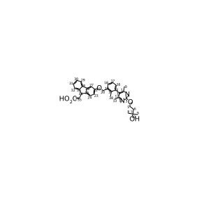 Cc1nc(OCCC(C)(C)O)nc(C)c1-c1cccc(COc2ccc3c(c2)-c2ccccc2C3CC(=O)O)c1C